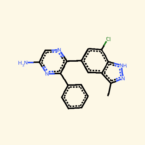 Cc1n[nH]c2c(Cl)cc(-c3ncc(N)nc3-c3ccccc3)cc12